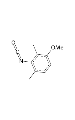 COc1ccc(C)c(N=C=O)c1C